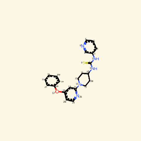 S=C(Nc1cccnc1)NC1CCN(c2cc(Oc3ccccc3)ccn2)CC1